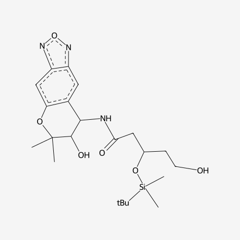 CC1(C)Oc2cc3nonc3cc2C(NC(=O)CC(CCO)O[Si](C)(C)C(C)(C)C)C1O